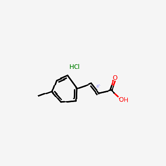 Cc1ccc(/C=C/C(=O)O)cc1.Cl